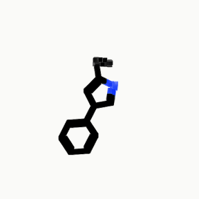 CSC1=CC(c2ccccc2)C=N1